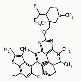 C[C@H](N1C=CN=CC1)N(C)c1nc(OC[C@]2(C)CN(C)CC[C@@H]2C(F)F)nc2c(F)c(-c3c(F)cc(F)c4sc(N)c(C#N)c34)c(Cl)cc12